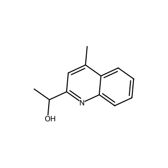 Cc1cc(C(C)O)nc2ccccc12